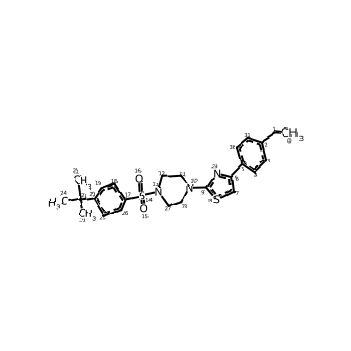 CCc1ccc(-c2csc(N3CCN(S(=O)(=O)c4ccc(C(C)(C)C)cc4)CC3)n2)cc1